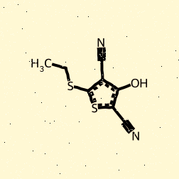 CCSc1sc(C#N)c(O)c1C#N